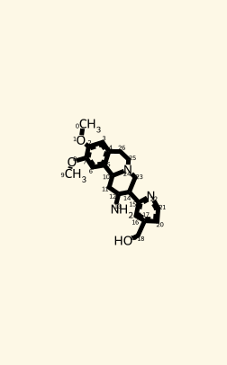 COc1cc2c(cc1OC)C1CC(N)C(c3cc(CO)ccn3)CN1CC2